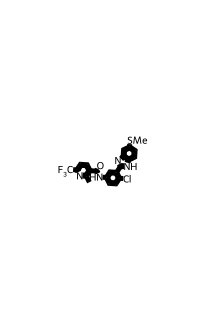 CSc1ccc2[nH]c(-c3cc(NC(=O)c4ccc(C(F)(F)F)nc4C)ccc3Cl)nc2c1